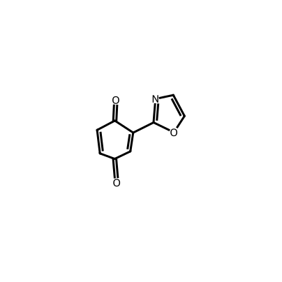 O=C1C=CC(=O)C(c2ncco2)=C1